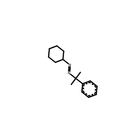 CC(C)(/N=N/C1CCCCC1)c1ccccc1